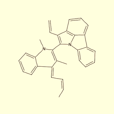 C=Cc1c(C2=C(C)/C(=C\C=C/C)c3ccccc3N2C)n2c3ccccc3c3cccc1c32